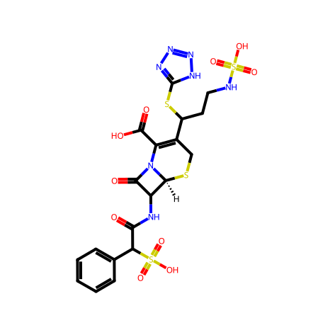 O=C(O)C1=C(C(CCNS(=O)(=O)O)Sc2nnn[nH]2)CS[C@H]2C(NC(=O)C(c3ccccc3)S(=O)(=O)O)C(=O)N12